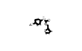 CC(=O)c1ccc(NC(=O)OCc2cccs2)cc1